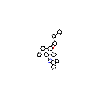 c1ccc(-c2cccc(-c3ccc4oc5c(-c6ccccc6-c6ccccc6-c6cnc7c8ccccc8c8ccccc8c7n6)cc(-c6cccc(-c7ccccc7)c6)cc5c4c3)c2)cc1